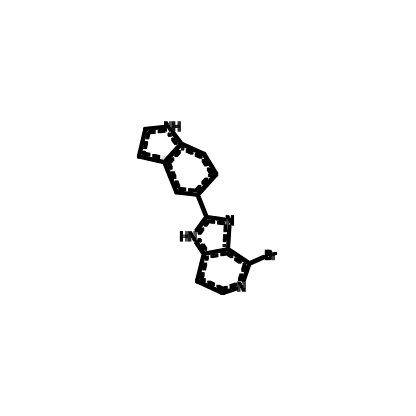 Brc1nccc2[nH]c(-c3ccc4[nH]ccc4c3)nc12